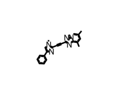 Cc1cc(C)c2nc(C#Cc3nc(-c4ccccc4)cn3C)nn2c1